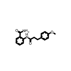 COc1ccc(CCC(=O)Nc2ccccc2C(N)=O)cc1